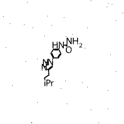 CC(C)CCc1cn(-c2ccc(NC(N)=O)cc2)nn1